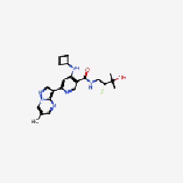 CC(C)(O)[C@H](F)CNC(=O)c1cnc(-c2cnn3cc(C#N)cnc23)cc1NC1CCC1